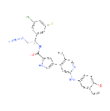 Cc1cnc(Nc2ccc3occc3c2)cc1-c1c[nH]c(C(=O)N[C@H](CN=[N+]=[N-])c2cc(F)cc(Cl)c2)c1